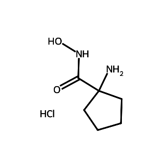 Cl.NC1(C(=O)NO)CCCC1